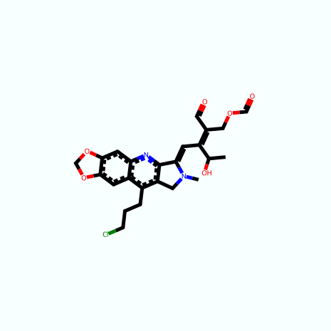 CC(O)C(/C=C1/c2nc3cc4c(cc3c(CCCCl)c2CN1C)OCO4)=C(/C=O)COC=O